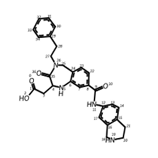 O=C(O)CC1Nc2cc(C(=O)Nc3ccc4c(c3)CNCC4)ccc2CN(CCc2ccccc2)C1=O